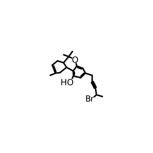 CC1=CCC2C(C1)c1c(O)cc(CC#CC(C)Br)cc1OC2(C)C